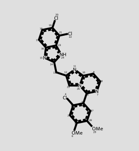 COc1cc(Cl)c(-c2nccc3nc(Cc4nc5ccc(Cl)c(Cl)c5[nH]4)cn23)cc1OC